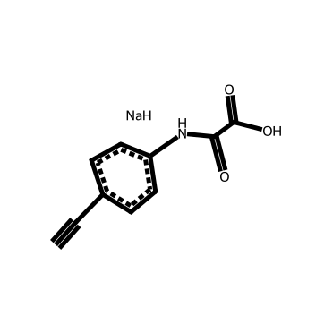 C#Cc1ccc(NC(=O)C(=O)O)cc1.[NaH]